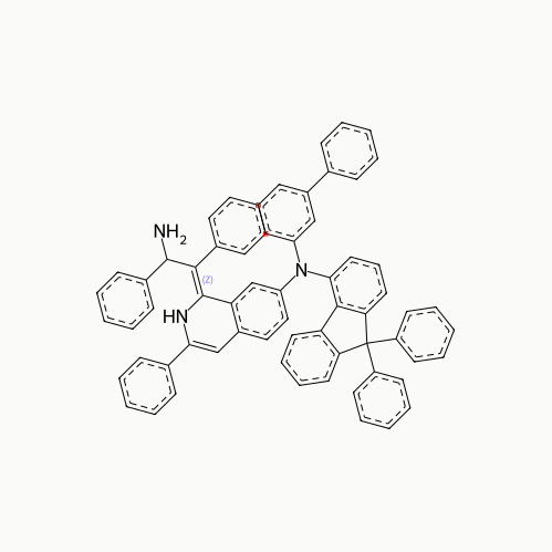 NC(/C(=C1\NC(c2ccccc2)=Cc2ccc(N(c3cccc(-c4ccccc4)c3)c3cccc4c3-c3ccccc3C4(c3ccccc3)c3ccccc3)cc21)c1ccccc1)c1ccccc1